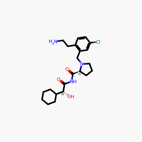 NCCc1ccc(Cl)cc1CN1CCC[C@H]1C(=O)NC(=O)[C@H](O)C1CCCCC1